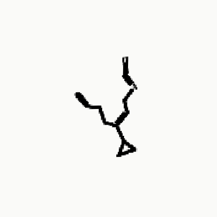 C=CCC/C(=C\CN=C=O)C1CC1